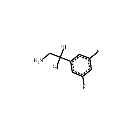 [2H]C([2H])(CN)c1cc(F)cc(F)c1